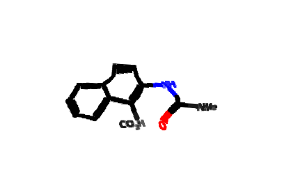 CNC(=O)Nc1ccc2ccccc2c1C(=O)O